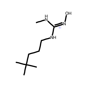 CN/C(=N\O)NCCCC(C)(C)C